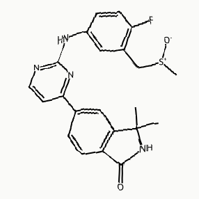 C[S+]([O-])Cc1cc(Nc2nccc(-c3ccc4c(c3)C(C)(C)NC4=O)n2)ccc1F